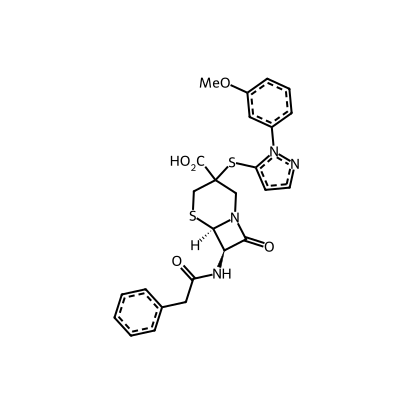 COc1cccc(-n2nccc2SC2(C(=O)O)CS[C@@H]3[C@H](NC(=O)Cc4ccccc4)C(=O)N3C2)c1